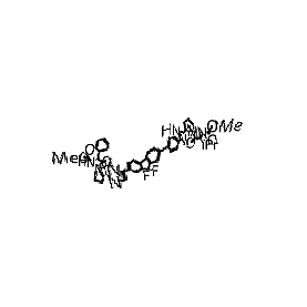 COC(=O)N[C@H](C(=O)N1CCCC1c1nc2ccc(-c3ccc4c(c3)C(F)(F)c3cc(-c5cnc([C@@H]6CCCN6C(=O)[C@H](NC(=O)OC)c6ccccc6)[nH]5)ccc3-4)cc2[nH]1)C(C)C